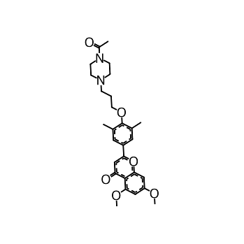 COc1cc(OC)c2c(=O)cc(-c3cc(C)c(OCCCN4CCN(C(C)=O)CC4)c(C)c3)oc2c1